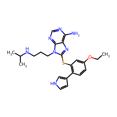 CCOc1ccc(-c2cc[nH]c2)c(Sc2nc3c(N)ncnc3n2CCCNC(C)C)c1